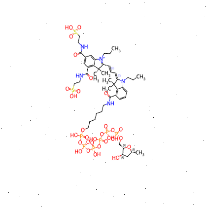 CCCN1/C(=C/C=C/C2=[N+](CCC)c3cc(C(=O)NCCS(=O)(=O)O)cc(C(=O)NCCS(=O)(=O)O)c3C2(C)C)C(C)(C)c2c(C(=O)NCCCCCCOP(=O)(O)OP(=O)(O)OP(=O)(O)OP(=O)(O)OP(=O)(O)OP(=O)(O)OC[C@H]3O[C@@H](C)C[C@H]3O)cccc21